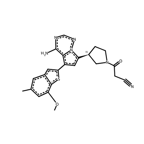 COc1cc(C)cc2cc(-c3cc([C@H]4CCN(C(=O)CC#N)C4)n4ncnc(N)c34)sc12